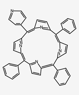 C1=CC2=C(c3ccccc3)C3=NC(=C(c4ccccc4)C4=NC(=C(c5ccncc5)C5=NC(=C(c6ccccc6)C1=N2)C=C5)C=C4)C=C3